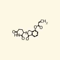 C=CC(=O)Oc1cccc2c1CN(C1CCC(=O)NC1=O)C2=O